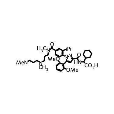 CNCCCN(C)CCCN(C)C(=O)c1ccc(-n2nc(C(=O)NC(C(=O)O)C3CCCCC3)cc2-c2c(OC)cccc2OC)c(C(C)C)c1